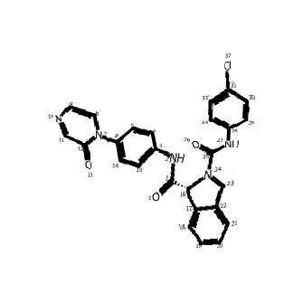 O=C(Nc1ccc(-n2ccncc2=O)cc1)[C@H]1c2ccccc2CN1C(=O)Nc1ccc(Cl)cc1